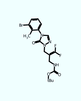 Cc1c(Br)cccc1-n1cnn(CC(CNC(=O)OC(C)(C)C)=C(F)F)c1=O